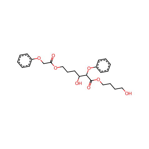 O=C(COc1ccccc1)OCCCC(O)C(Oc1ccccc1)C(=O)OCCCCO